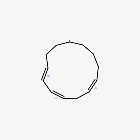 [CH]1CC/C=C/C=C\C/C=C\CCC1